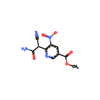 COC(=O)c1cnc(C(C#N)C(N)=O)c([N+](=O)[O-])c1